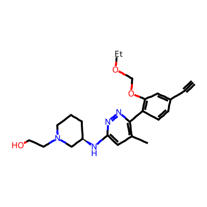 C#Cc1ccc(-c2nnc(N[C@@H]3CCCN(CCO)C3)cc2C)c(OCOCC)c1